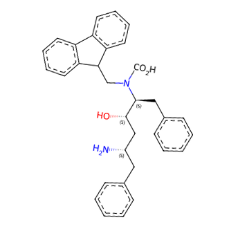 N[C@@H](Cc1ccccc1)C[C@H](O)[C@H](Cc1ccccc1)N(CC1c2ccccc2-c2ccccc21)C(=O)O